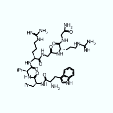 CC(C)C[C@H](NC(=O)[C@@H](N)Cc1c[nH]c2ccccc12)C(=O)N[C@H](C(=O)N[C@@H](CCCNC(=N)N)C(=O)NCC(=O)N[C@@H](CCCNC(=N)N)C(=O)NCC(N)=O)C(C)C